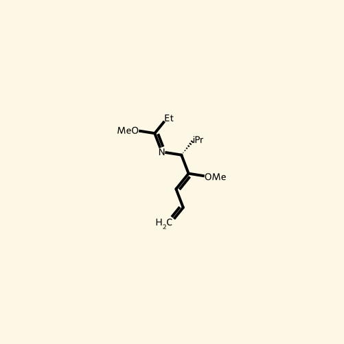 C=C/C=C(\OC)[C@H](/N=C(\CC)OC)C(C)C